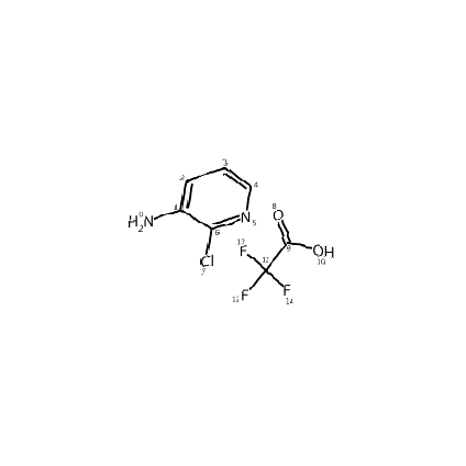 Nc1cccnc1Cl.O=C(O)C(F)(F)F